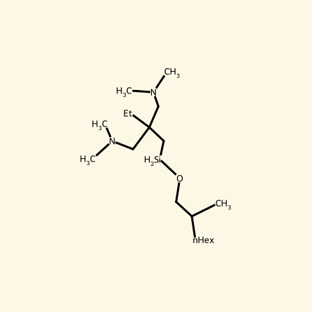 CCCCCCC(C)CO[SiH2]CC(CC)(CN(C)C)CN(C)C